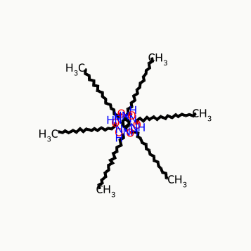 CCCCCCCCCCCCCCCCCC(=O)Nc1c(NC(=O)CCCCCCCCCCCCCCCCC)c(NC(=O)CCCCCCCCCCCCCCCCC)c(NC(=O)CCCCCCCCCCCCCCCCC)c(NC(=O)CCCCCCCCCCCCCCCCC)c1NC(=O)CCCCCCCCCCCCCCCCC